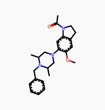 COc1cc2c(cc1N1CC(C)N(Cc3ccccc3)C(C)C1)N(C(C)=O)CC2